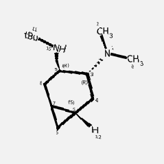 CN(C)[C@@H]1C[C@@H]2CC2C[C@H]1NC(C)(C)C